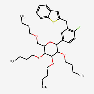 CCCCOCC1OC(c2ccc(F)c(Cc3cc4ccccc4s3)c2)C(OCCCC)C(OCCCC)C1OCCCC